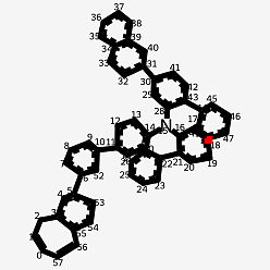 C1=CCc2cc(-c3cccc(-c4ccc(N(c5ccccc5-c5ccccc5)c5cc(-c6ccc7ccccc7c6)ccc5-c5ccccc5)cc4)c3)ccc2C=C1